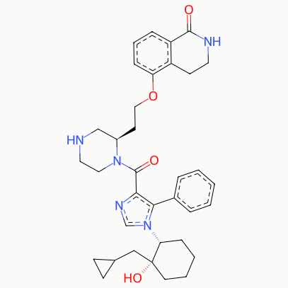 O=C1NCCc2c(OCC[C@@H]3CNCCN3C(=O)c3ncn([C@@H]4CCCC[C@@]4(O)CC4CC4)c3-c3ccccc3)cccc21